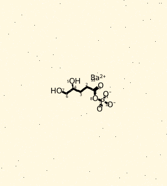 O=C(CC[C@H](O)CO)OP(=O)([O-])[O-].[Ba+2]